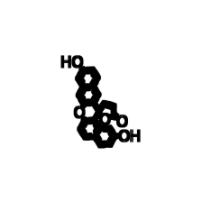 O=C1C=CC2(O1)c1cc3ccc(O)cc3cc1Oc1ccc3ccc(O)cc3c12